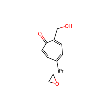 C1CO1.CC(C)c1ccc(CO)c(=O)cc1